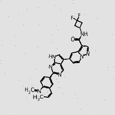 C=Nc1ccc(-c2ncc3c(-c4ccn5ncc(C(=O)NC6CC(F)(F)C6)c5c4)c[nH]c3n2)cc1/C=C\C